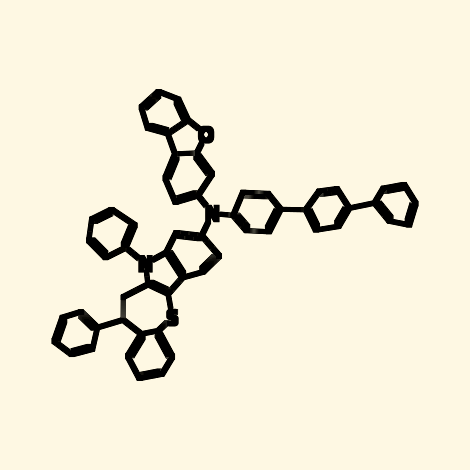 c1ccc(-c2ccc(-c3ccc(N(c4ccc5c(c4)oc4ccccc45)c4ccc5c6c(n(-c7ccccc7)c5c4)CC(c4ccccc4)c4ccccc4S6)cc3)cc2)cc1